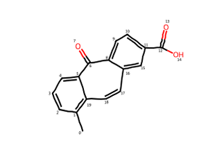 Cc1cccc2c(=O)c3ccc(C(=O)O)cc3ccc12